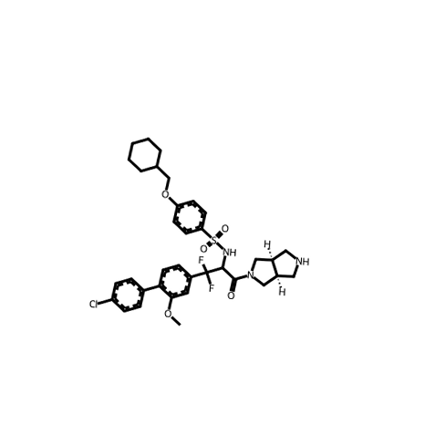 COc1cc(C(F)(F)C(NS(=O)(=O)c2ccc(OCC3CCCCC3)cc2)C(=O)N2C[C@H]3CNC[C@H]3C2)ccc1-c1ccc(Cl)cc1